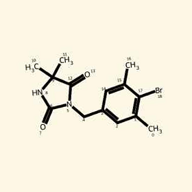 Cc1cc(CN2C(=O)NC(C)(C)C2=O)cc(C)c1Br